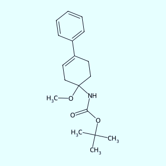 COC1(NC(=O)OC(C)(C)C)CC=C(c2ccccc2)CC1